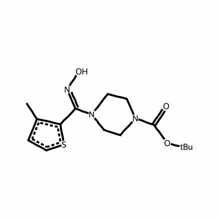 Cc1ccsc1/C(=N/O)N1CCN(C(=O)OC(C)(C)C)CC1